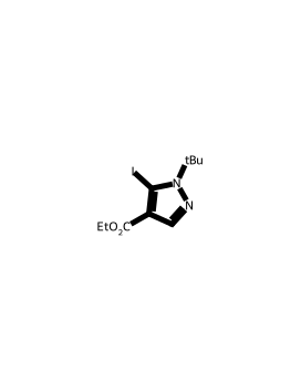 CCOC(=O)c1cnn(C(C)(C)C)c1I